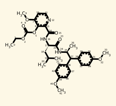 CCOC(=O)Oc1c(OC)ccnc1C(=O)N[C@@H](CC(C)C)C(=O)N[C@@H](C)C(c1ccc(OC)cc1)c1ccc(OC)cc1